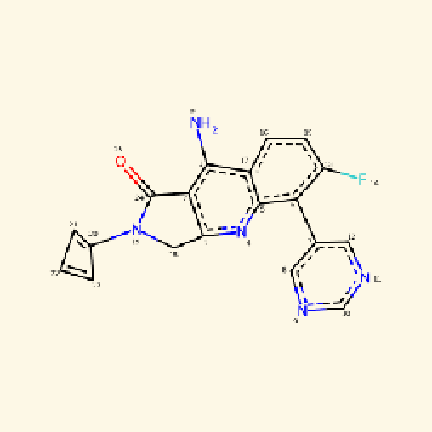 Nc1c2c(nc3c(-c4cncnc4)c(F)ccc13)CN(C1=CC=C1)C2=O